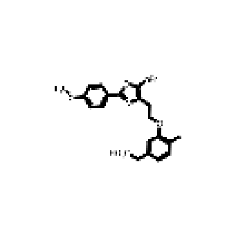 CCCc1oc(-c2ccc(OC(F)(F)F)cc2)nc1CCOc1cc(CC(=O)O)ccc1C